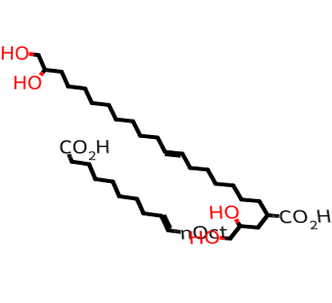 CCCCCCCCC=CCCCCCCCC(=O)O.O=C(O)C(CCCCCCC=CCCCCCCCCCC(O)CO)CC(O)CO